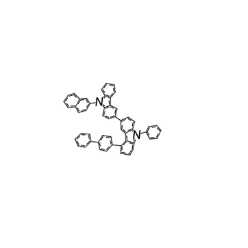 c1ccc(-c2ccc(-c3cccc4c3c3cc(-c5ccc6c(c5)c5ccccc5n6-c5ccc6ccccc6c5)ccc3n4-c3ccccc3)cc2)cc1